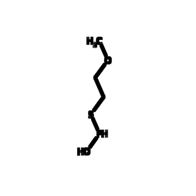 COCCSPO